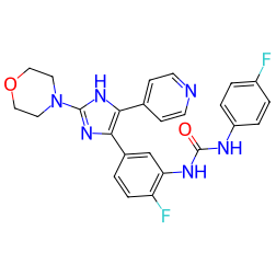 O=C(Nc1ccc(F)cc1)Nc1cc(-c2nc(N3CCOCC3)[nH]c2-c2ccncc2)ccc1F